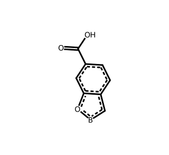 O=C(O)c1ccc2cboc2c1